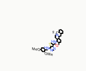 COc1ccc(CNc2ncnc3c(C(=O)Nc4c(C)ccc5c(Cc6ccccc6C(F)(F)F)nccc45)csc23)c(OC)c1